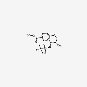 COC(=O)c1ccc2c(c1)C(OS(=O)(=O)C(F)(F)F)=C(C)CO2